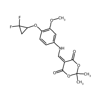 COc1cc(NC=C2C(=O)OC(C)(C)OC2=O)ccc1OC1CC1(F)F